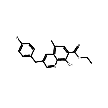 CCOC(=O)c1cc(C)c2cc(Cc3ccc(F)cc3)cnc2c1O